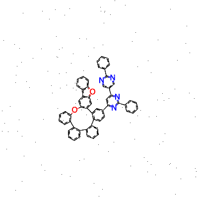 c1ccc(-c2ncc(-c3cc(-c4ccc5c(c4)-c4cc6oc7ccccc7c6cc4Oc4ccccc4-c4ccccc4-c4ccccc4-5)nc(-c4ccccc4)n3)cn2)cc1